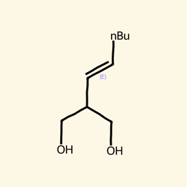 CCCC/C=C/C(CO)CO